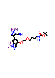 CC(C)(C)OC(=O)NCCCCOCCOc1cc(-c2cnn(PI)c2C#N)cc2c1cnn2PI